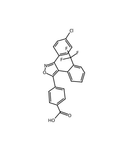 O=C(O)c1ccc(-c2onc(-c3ccc(Cl)cc3)c2-c2ccccc2C(F)(F)F)cc1